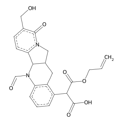 C=CCOC(=O)C(C(=O)O)c1cccc2c1CC1Cn3c(ccc(CO)c3=O)C1N2C=O